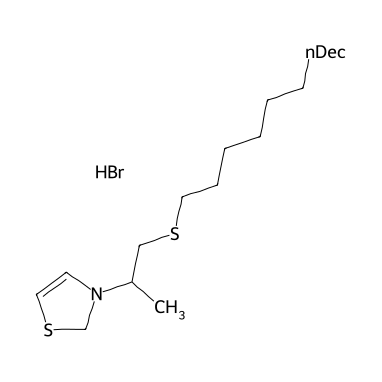 Br.CCCCCCCCCCCCCCCCSCC(C)N1C=CSC1